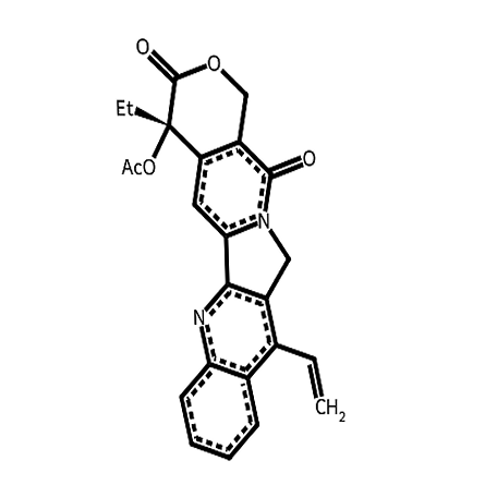 C=Cc1c2c(nc3ccccc13)-c1cc3c(c(=O)n1C2)COC(=O)[C@@]3(CC)OC(C)=O